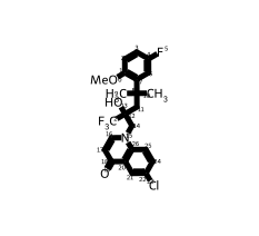 COc1ccc(F)cc1C(C)(C)CC(O)(Cn1ccc(=O)c2cc(Cl)ccc21)C(F)(F)F